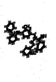 CC1C=C(CN(/N=C/c2ccccc2)C(=N)C2C=C(C#N)C=CC2)C=CC1Nc1ccccc1-c1ccccc1